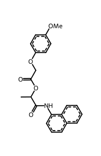 COc1ccc(OCC(=O)OC(C)C(=O)Nc2cccc3ccccc23)cc1